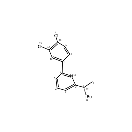 C[C@@H](c1cccc(-c2ccc(Cl)c(Cl)c2)n1)C(C)(C)C